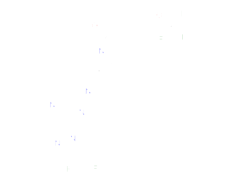 O=C(c1ccc(OC(F)(F)F)cc1)N1CC2(CCN(c3cnc4cnn(CC(F)F)c4n3)C2)C1